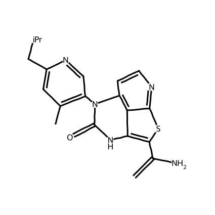 C=C(N)c1sc2nccc3c2c1NC(=O)N3c1cnc(CC(C)C)cc1C